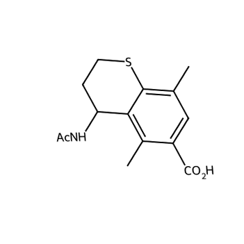 CC(=O)NC1CCSc2c(C)cc(C(=O)O)c(C)c21